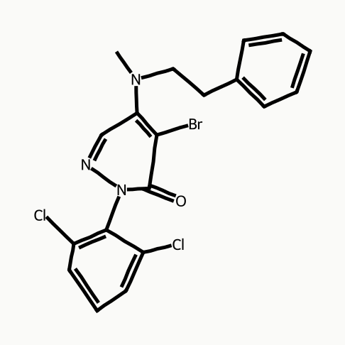 CN(CCc1ccccc1)c1cnn(-c2c(Cl)cccc2Cl)c(=O)c1Br